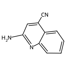 N#Cc1cc(N)nc2ccccc12